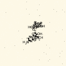 C#CC1(N)[C@@H](O)[C@@H](COP(=O)(O)OP(=O)(O)OP(=O)(O)O)O[C@H]1n1ncc(N)nc1=O